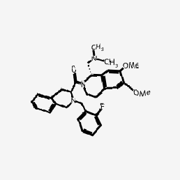 COc1cc2c(cc1OC)[C@@H](CN(C)C)N(C(=O)C1Cc3ccccc3CN1Cc1ccccc1F)CC2